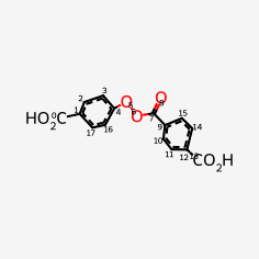 O=C(O)c1ccc(OOC(=O)c2ccc(C(=O)O)cc2)cc1